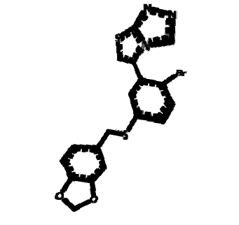 Brc1ccc(SCc2ccc3c(c2)OCO3)cc1-c1csc2nncn12